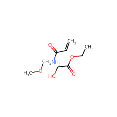 C=CC(N)=O.CCOC(=O)CO.COC